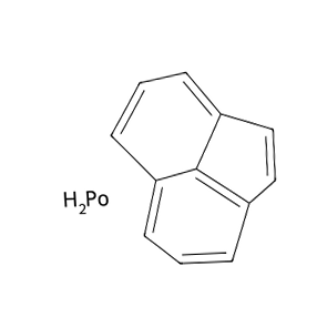 C1=Cc2cccc3cccc1c23.[PoH2]